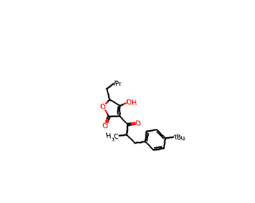 CC(C)CC1OC(=O)C(C(=O)C(C)Cc2ccc(C(C)(C)C)cc2)=C1O